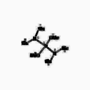 CO[Si](OC)(N(C(C)(C)C)C(C)(C)C)N(C(C)(C)C)C(C)(C)C